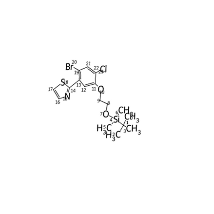 CC(C)(C)[Si](C)(C)OCCOc1cc(-c2nccs2)c(Br)cc1Cl